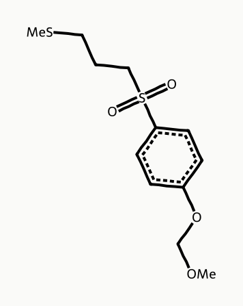 COCOc1ccc(S(=O)(=O)CCCSC)cc1